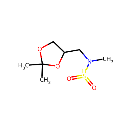 CN(CC1COC(C)(C)O1)[SH](=O)=O